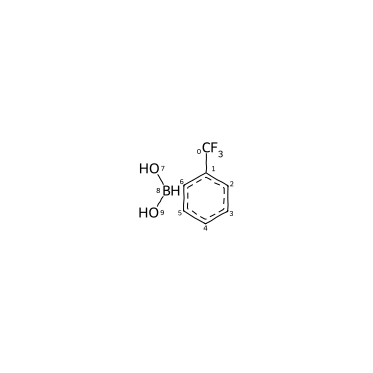 FC(F)(F)c1ccccc1.OBO